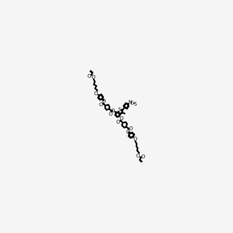 C=CC(=O)OCCCCCCOc1ccc(OC(=O)C2CCC(C(=O)Oc3ccc(OC(=O)C4CCC(C(=O)Oc5ccc(OCCCCCCOC(=O)C=C)cc5)CC4)c4c(C)c(-c5ccc(N=C=S)cc5)sc34)CC2)cc1